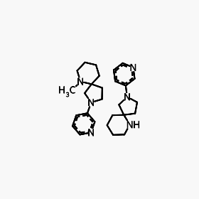 CN1CCCCC12CCN(c1cccnc1)C2.c1cncc(N2CCC3(CCCCN3)C2)c1